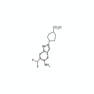 CCOC(=O)C1CCC(n2cc3cc(N)c(C(F)F)cc3n2)CC1